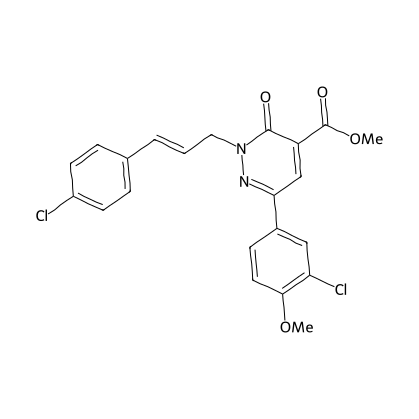 COC(=O)c1cc(-c2ccc(OC)c(Cl)c2)nn(CC=Cc2ccc(Cl)cc2)c1=O